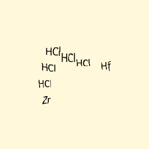 Cl.Cl.Cl.Cl.Cl.[Hf].[Zr]